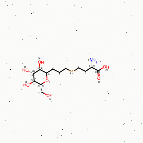 N[C@@H](CCSCCCC1O[C@H](CO)[C@@H](O)[C@H](O)[C@H]1O)C(=O)O